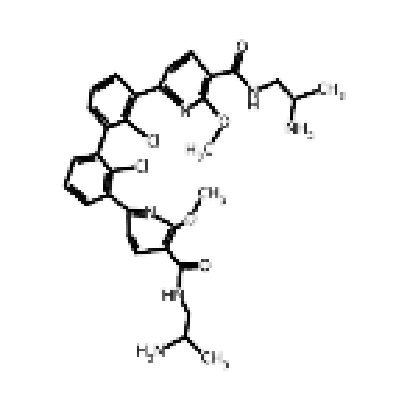 COc1nc(-c2cccc(-c3cccc(-c4ccc(C(=O)NCC(C)N)c(OC)n4)c3Cl)c2Cl)ccc1C(=O)NCC(C)N